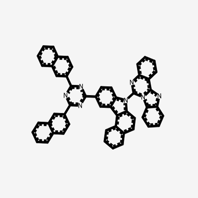 c1ccc2cc(-c3nc(-c4ccc5ccccc5c4)nc(-c4ccc5c(c4)c4c6ccccc6ccc4n5-c4nc5ccccc5c5nc6ccccc6n45)n3)ccc2c1